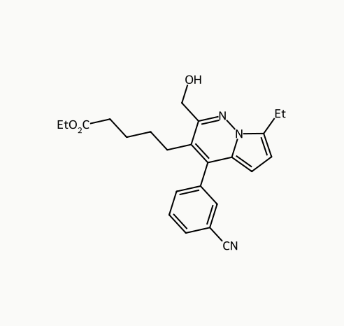 CCOC(=O)CCCCc1c(CO)nn2c(CC)ccc2c1-c1cccc(C#N)c1